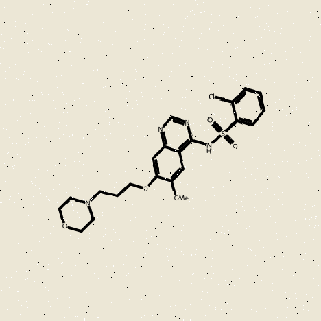 COc1cc2c(NS(=O)(=O)c3ccccc3Cl)ncnc2cc1OCCCN1CCOCC1